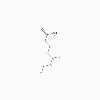 CCCC(C)CCCC(=O)S